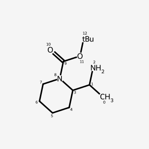 CC(N)C1CCCCN1C(=O)OC(C)(C)C